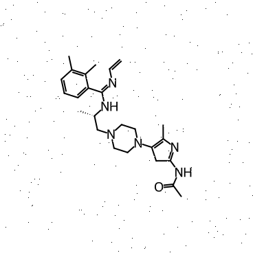 C=C/N=C(/N[C@@H](C)CN1CCN(C2=C(C)N=C(NC(C)=O)C2)CC1)c1cccc(C)c1C